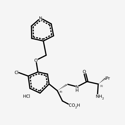 CC(C)[C@H](N)C(=O)NC[C@H](CC(=O)O)c1ccc(Cl)c(OCc2ccncc2)c1.Cl